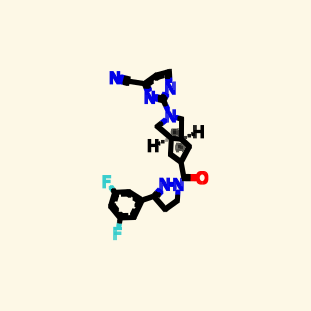 N#Cc1ccnc(N2C[C@H]3CC(C(=O)N4CCC(c5cc(F)cc(F)c5)=N4)C[C@H]3C2)n1